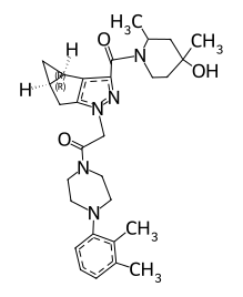 Cc1cccc(N2CCN(C(=O)Cn3nc(C(=O)N4CCC(C)(O)CC4C)c4c3C[C@H]3C[C@@H]43)CC2)c1C